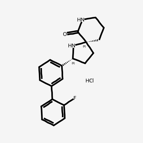 Cl.O=C1NCCC[C@@]12CC[C@H](c1cccc(-c3ccccc3F)c1)N2